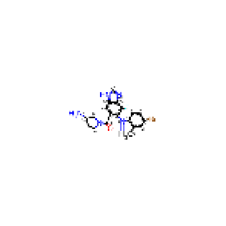 Cc1cc(Br)ccc1Nc1c(C(=O)N2CCC(N)C2)cc2[nH]cnc2c1F